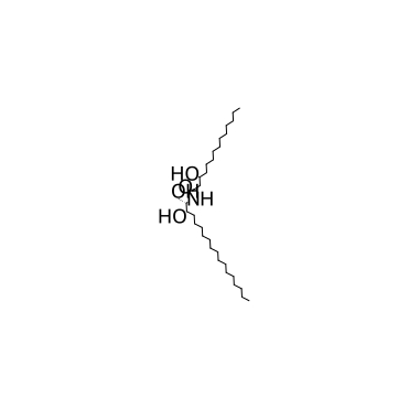 CCCCCCCCCCCCCCC[C@@H](O)[C@H](CO)NC(=O)C[C@H](O)CCCCCCCCCCC